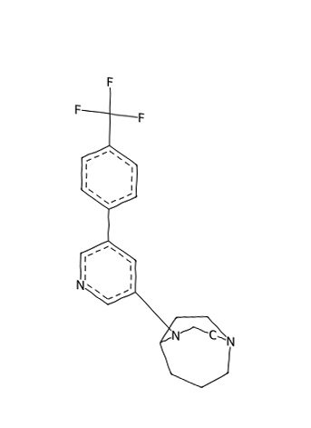 FC(F)(F)c1ccc(-c2cncc(N3CCN4CCCC3CC4)c2)cc1